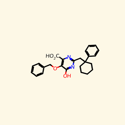 O=C(O)c1nc(CC2(c3ccccc3)CCCCC2)nc(O)c1OCc1ccccc1